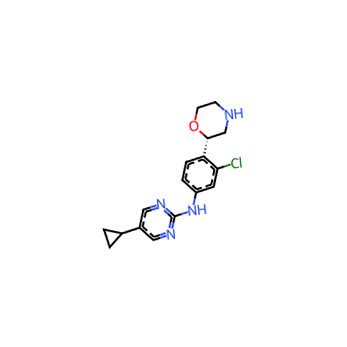 Clc1cc(Nc2ncc(C3CC3)cn2)ccc1[C@H]1CNCCO1